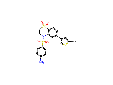 N#Cc1cc(-c2ccc3c(c2)N(S(=O)(=O)c2ccc(N)cc2)CCS3(=O)=O)cs1